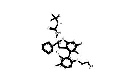 C[C@H]1c2c(cc(F)c(Cl)c2-c2c(OCCO)ccc(F)c2F)O[C@]1(CNC(=O)OC(C)(C)C)c1ccccc1